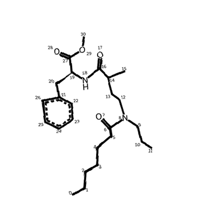 CCCCCCC(=O)N(CCC)CCC(C)C(=O)N[C@@H](Cc1ccccc1)C(=O)OC